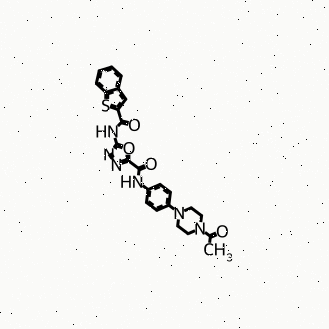 CC(=O)N1CCN(c2ccc(NC(=O)c3nnc(NC(=O)c4cc5ccccc5s4)o3)cc2)CC1